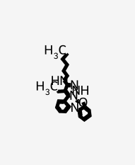 CCCCCCNC1=NNN(c2nc3ccccc3o2)C(c2ccccc2)=C1CC